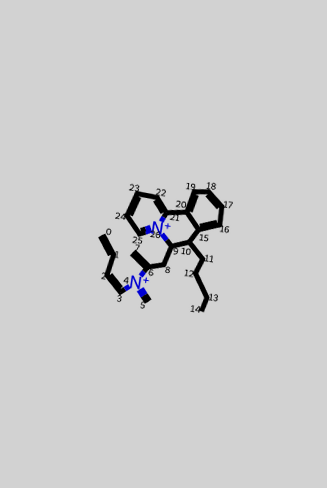 C=C/C=C\[N+](=C)C(=C)CC1C(CCCC)c2ccccc2-c2cccc[n+]21